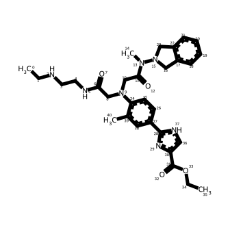 CCNCCNC(=O)CN(CC(=O)N(C)N1Cc2ccccc2C1)c1ccc(-c2nc(C(=O)OCC)c[nH]2)cc1C